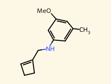 COc1cc(C)cc(NCC2=CCC2)c1